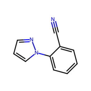 N#Cc1ccccc1-n1cccn1